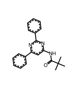 CC(C)(C)C(=O)Nc1cc(-c2ccccc2)nc(-c2ccccc2)n1